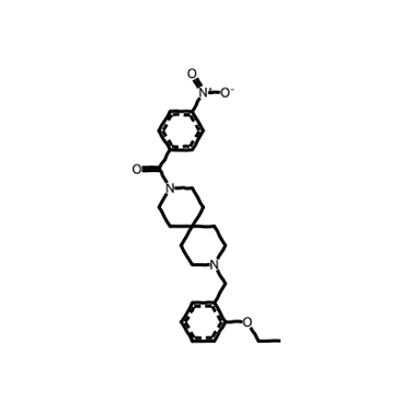 CCOc1ccccc1CN1CCC2(CC1)CCN(C(=O)c1ccc([N+](=O)[O-])cc1)CC2